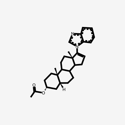 CC(=O)O[C@@H]1CC[C@]2(C)C3CC[C@]4(C)C(n5cnc6ccccc65)=CCC4C3CC[C@@H]2C1